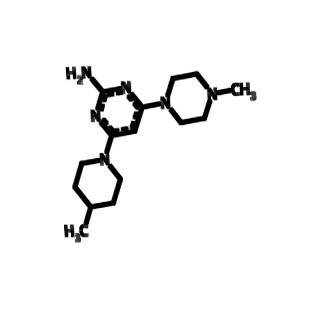 CC1CCN(c2cc(N3CCN(C)CC3)nc(N)n2)CC1